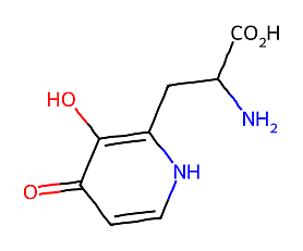 NC(Cc1[nH]ccc(=O)c1O)C(=O)O